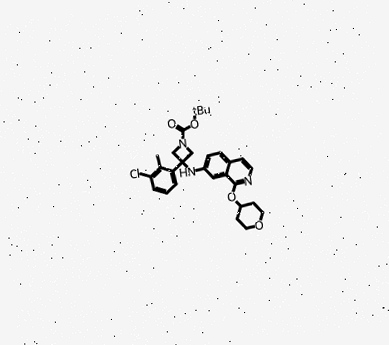 Cc1c(Cl)cccc1C1(Nc2ccc3ccnc(OC4CCOCC4)c3c2)CN(C(=O)OC(C)(C)C)C1